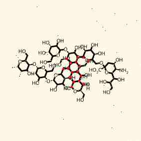 CC1C(O)[C@H](OC2OC(CO)[C@H](O)[C@H](O)C2O)[C@H](CO)O[C@H]1O[C@@H]1C(O)[C@H](O)C(CO)O[C@@H]1OCC1O[C@@H](O[C@@H]2C(CO)O[C@@H](O[C@@H]3C(CO)O[C@@H](C)[C@@H](C)C3O)[C@@H](C)C2O)[C@H](O)C(O[C@H]2O[C@H](CO)[C@@H](O)C(O)C2O[C@@H]2OC(CO)[C@@H](O[C@@H]3OC(CO[C@]4(C(=O)O)C[C@@H](O)[C@@H](N)C(C(O)C(O)CO)O4)[C@H](O)C(O)[C@@H]3O)C(O)[C@@H]2C)[C@@H]1O